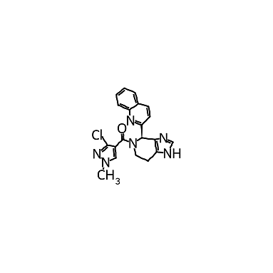 Cn1cc(C(=O)N2CCc3[nH]cnc3[C@@H]2c2ccc3ccccc3n2)c(Cl)n1